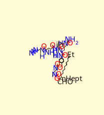 CCC=CCC=CCCCCCC(CCCCCCC)C(C=O)OC(=O)N(C)CCN(C)C(=O)OCc1ccc(NC(=O)[C@H](CCCNC(N)=O)NC(=O)[C@@H](NC(=O)CC[C@@H](N)C(=O)NCCN=[N+]=[N-])C(C)C)cc1